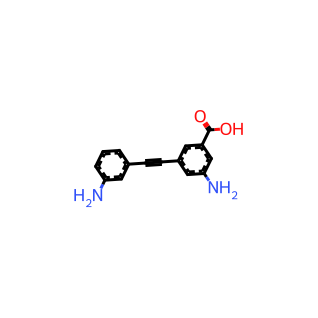 Nc1cccc(C#Cc2cc(N)cc(C(=O)O)c2)c1